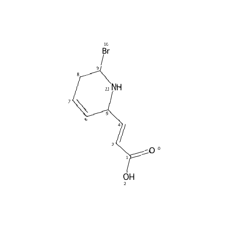 O=C(O)/C=C/C1C=CCC(Br)N1